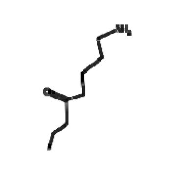 CCCC(=O)CCCCN